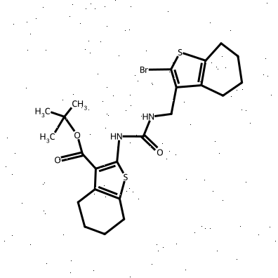 CC(C)(C)OC(=O)c1c(NC(=O)NCc2c(Br)sc3c2CCCC3)sc2c1CCCC2